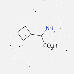 NC(C(=O)O)C1CCC1